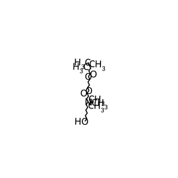 CC(C)(C)CCC(=O)OCCCCOC(=O)CCN(CCCCCCO)C(C)(C)C